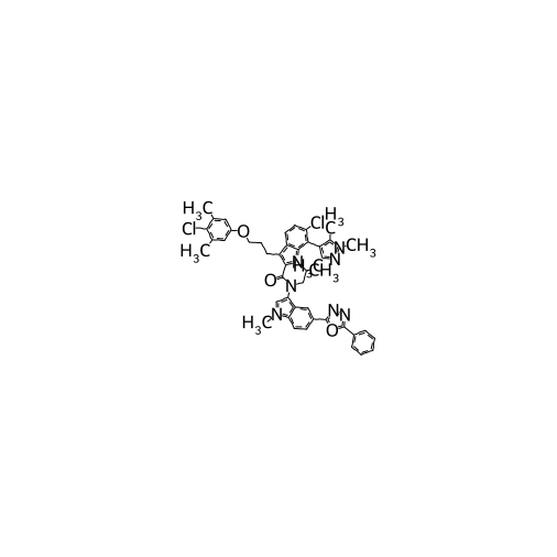 Cc1cc(OCCCc2c3n(c4c(-c5c(C)nn(C)c5C)c(Cl)ccc24)C(C)CN(c2cn(C)c4ccc(-c5nnc(-c6ccccc6)o5)cc24)C3=O)cc(C)c1Cl